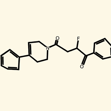 O=C(c1ccccc1)C(F)CC(=O)N1CC=C(c2ccccc2)CC1